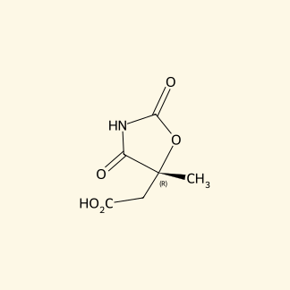 C[C@]1(CC(=O)O)OC(=O)NC1=O